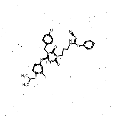 CC(C)Oc1ccc(/N=c2\[nH]c(=O)n(CCCN/C(=N\C#N)Oc3ccccc3)c(=O)n2Cc2ccc(Cl)cc2)cc1F